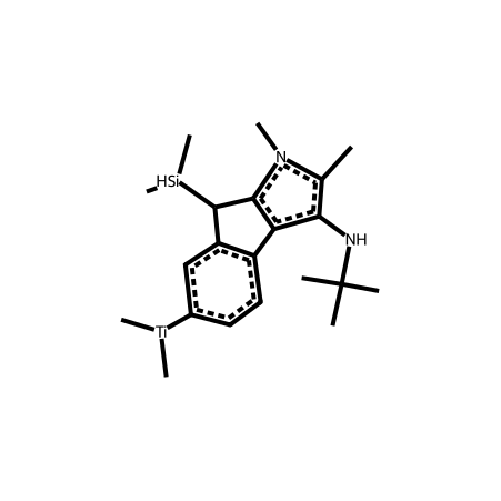 Cc1c(NC(C)(C)C)c2c(n1C)C([SiH](C)C)c1c[c]([Ti]([CH3])[CH3])ccc1-2